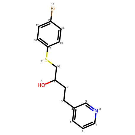 OC(CCc1cccnc1)CSc1ccc(Br)cc1